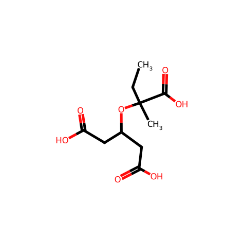 CCC(C)(OC(CC(=O)O)CC(=O)O)C(=O)O